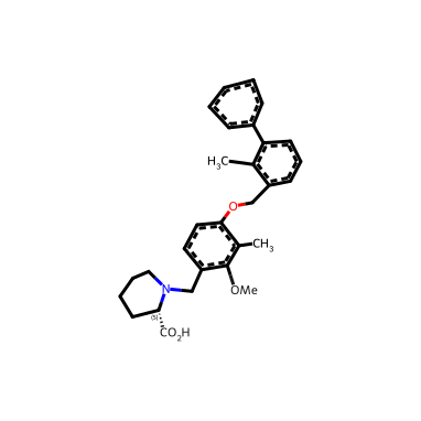 COc1c(CN2CCCC[C@H]2C(=O)O)ccc(OCc2cccc(-c3ccccc3)c2C)c1C